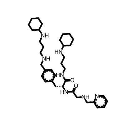 O=C(CNCc1ccccn1)N[C@H](Cc1ccc(CNCCCNC2CCCCC2)cc1)C(=O)NCCCNC1CCCCC1